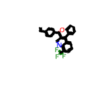 C=Cc1ccc(C(=O)c2cnc3c(C(F)(F)F)cccc3c2-c2ccccc2)cc1